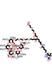 CCOCCOCCOCC(=O)C[C@@H](CCCCNC(=O)CCCC[C@@H]1SC[C@@H]2NC(=O)N[C@@H]21)C(=O)CCCOCCOCCOCCO[C@H]1[C@H](OC)[C@@H](OC)[C@@H](O[C@H]2[C@H](OC)[C@@H](OC)[C@H](O[C@H]3[C@H](OS(=O)(=O)O)[C@@H](OS(=O)(=O)O)[C@@H](O[C@H]4[C@H](OC)[C@@H](OC)[C@H](O[C@H]5[C@H](OC)[C@@H](OS(=O)(=O)O)[C@@H](OC)O[C@@H]5COS(=O)(=O)O)O[C@H]4C(=O)O)O[C@@H]3COS(=O)(=O)O)O[C@@H]2C(=O)O)O[C@@H]1COS(=O)(=O)O